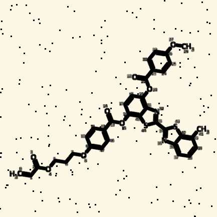 C=CC(=O)OCCCOc1ccc(C(=O)Oc2ccc(OC(=O)c3ccc(OC)cc3)c3nc(-c4nc5cccc(C)c5s4)sc23)cc1